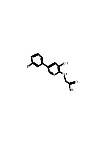 NC(=O)CNc1ncc(-c2cccc(F)c2)cc1O